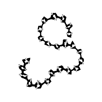 [c]1csc(-c2csc(-c3csc(-c4csc(-c5csc(-c6csc(-c7csc(-c8csc(-c9csc(-c%10csc(-c%11csc(-c%12csc(-c%13csc(-c%14csc(-c%15csc(-c%16csc(-c%17csc(-c%18csc(-c%19csc(-c%20csc(-c%21csc(-c%22csc(-c%23cscn%23)n%22)n%21)n%20)n%19)n%18)n%17)n%16)n%15)n%14)n%13)n%12)n%11)n%10)n9)n8)n7)n6)n5)n4)n3)n2)n1